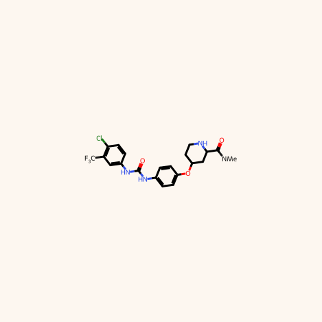 CNC(=O)C1CC(Oc2ccc(NC(=O)Nc3ccc(Cl)c(C(F)(F)F)c3)cc2)CCN1